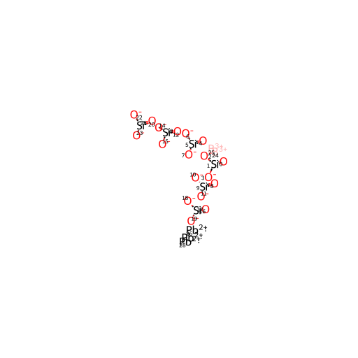 O=[Si]([O-])[O-].O=[Si]([O-])[O-].O=[Si]([O-])[O-].O=[Si]([O-])[O-].O=[Si]([O-])[O-].O=[Si]([O-])[O-].[B+3].[B+3].[Pb+2].[Pb+2].[Pb+2]